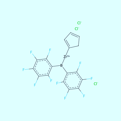 Fc1c(F)c(F)c([B]([Zr+3][C]2=CC=CC2)c2c(F)c(F)c(F)c(F)c2F)c(F)c1F.[Cl-].[Cl-].[Cl-]